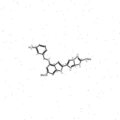 COc1cc(OCc2cccc(N)c2)c2cc(-c3cn4nc(OC)sc4n3)oc2c1